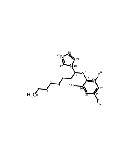 CCCCCCCC(Sc1c(F)cc(F)cc1F)n1ccnc1